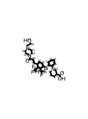 O=C(O)C1CCCN(c2ccccc2Sc2ccc(C=CC(=O)N3CCN(CCO)CC3)c(C(F)(F)F)c2C(F)(F)F)C1